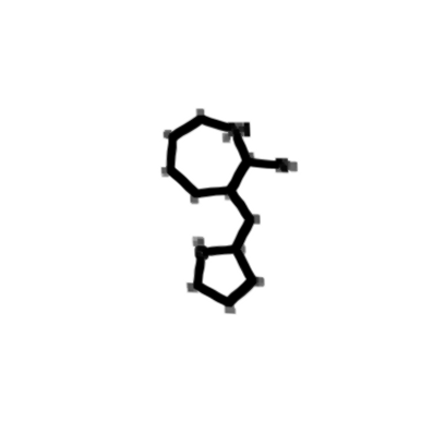 [N]C1NCCCCC1CC1CCCO1